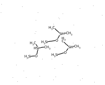 C[SiH](C)O[SiH3].C[SiH](C)O[SiH3].C[SiH](C)O[SiH3]